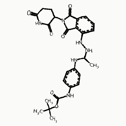 CC(NNc1cccc2c1C(=O)N(C1CCC(=O)NC1=O)C2=O)Nc1ccc(NC(=O)OC(C)(C)C)cc1